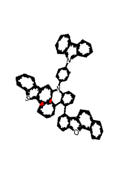 c1ccc(-c2c(-c3cccc4oc5c6ccccc6ccc5c34)cccc2N(c2ccc(-n3c4ccccc4c4ccccc43)cc2)c2ccc3sc4ccccc4c3c2)cc1